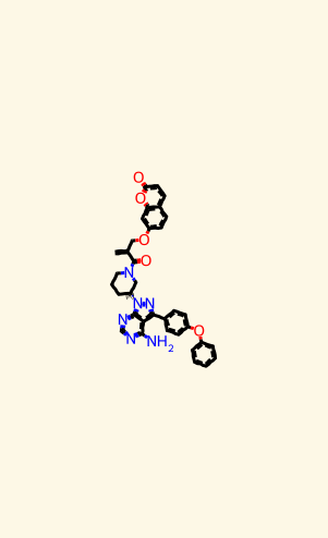 C=C(COc1ccc2ccc(=O)oc2c1)C(=O)N1CCC[C@@H](n2nc(-c3ccc(Oc4ccccc4)cc3)c3c(N)ncnc32)C1